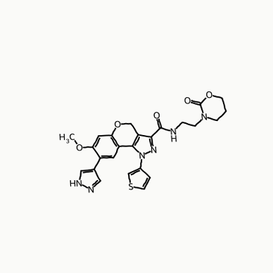 COc1cc2c(cc1-c1cn[nH]c1)-c1c(c(C(=O)NCCN3CCCOC3=O)nn1-c1ccsc1)CO2